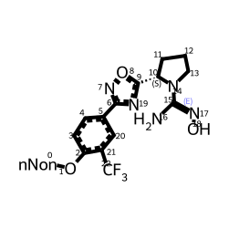 CCCCCCCCCOc1ccc(-c2noc([C@@H]3CCCN3/C(N)=N/O)n2)cc1C(F)(F)F